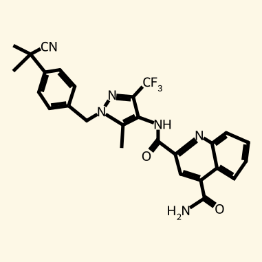 Cc1c(NC(=O)c2cc(C(N)=O)c3ccccc3n2)c(C(F)(F)F)nn1Cc1ccc(C(C)(C)C#N)cc1